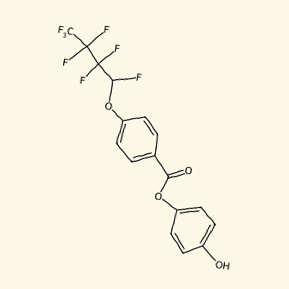 O=C(Oc1ccc(O)cc1)c1ccc(OC(F)C(F)(F)C(F)(F)C(F)(F)F)cc1